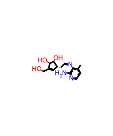 Cc1ccnc(N)c1/N=C\C[C@@H]1C=C(CO)[C@@H](O)[C@H]1O